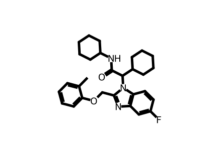 Cc1ccccc1OCc1nc2cc(F)ccc2n1C(C(=O)NC1CCCCC1)C1CCCCC1